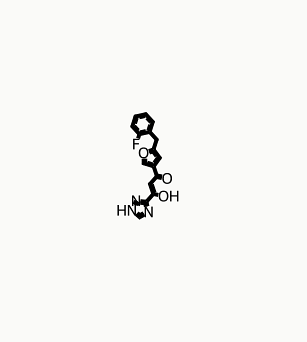 O=C(C=C(O)c1nc[nH]n1)c1coc(Cc2ccccc2F)c1